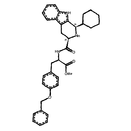 COC(=O)C(Cc1ccc(OCc2ccccc2)cc1)NC(=O)[C@H]1Cc2c([nH]c3ccccc23)[C@@H](C2CCCCC2)N1